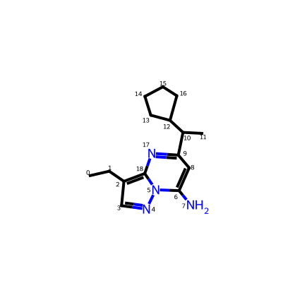 CCc1cnn2c(N)cc(C(C)C3CCCC3)nc12